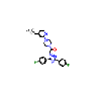 CCc1ccnc(N2CCN(C(=O)Cn3nc(-c4ccc(F)cc4)nc3-c3ccc(F)cc3)CC2)c1